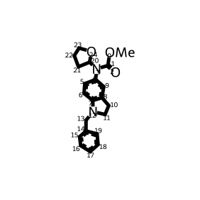 COC(=O)N(c1ccc2c(c1)CCN2Cc1ccccc1)C1CCCO1